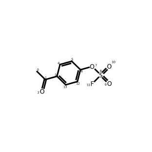 CC(=O)c1ccc(OS(=O)(=O)F)cc1